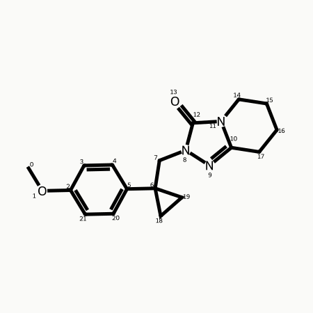 COc1ccc(C2(Cn3nc4n(c3=O)CCCC4)CC2)cc1